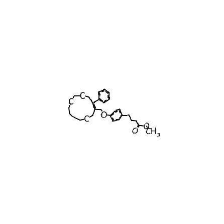 COC(=O)CCCc1ccc(OCC2=C(c3ccccc3)CCCCCCCCCC2)cc1